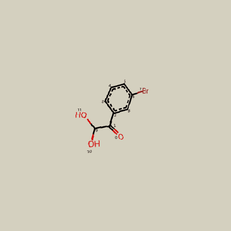 O=C(c1cccc(Br)c1)C(O)O